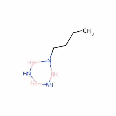 CCCCN1BNBNB1